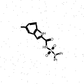 Cc1ccc2[nH]c(C(=O)NS(=O)(=O)N(C(C)C)C(C)C)cc2c1